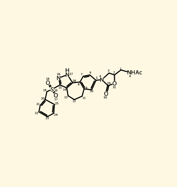 CC(=O)NCC1CN(c2ccc3c(c2)CCCc2c(S(=O)(=O)Cc4ccccc4)n[nH]c2-3)C(=O)O1